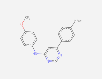 CNc1ccc(-c2cc(Nc3ccc(OC(F)(F)F)cc3)ncn2)cc1